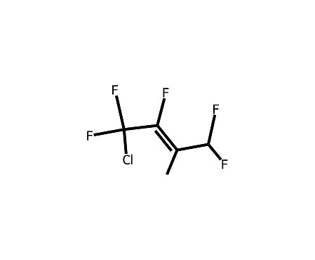 C/C(=C(/F)C(F)(F)Cl)C(F)F